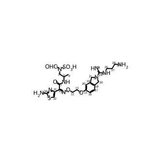 CC(CN(C=O)S(=O)(=O)O)NC(=O)/C(=N\OCCOc1ccc2c(c1)CN(C(=N)NCCCN)C2)c1csc(N)n1